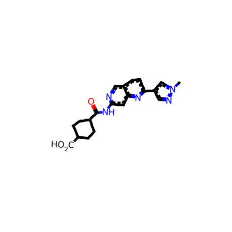 Cn1cc(-c2ccc3cnc(NC(=O)C4CCC(C(=O)O)CC4)cc3n2)cn1